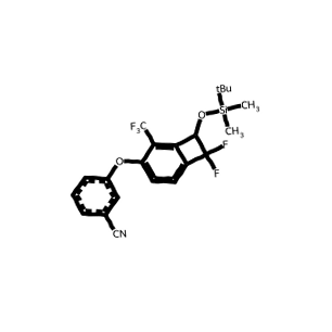 CC(C)(C)[Si](C)(C)OC1C2=C(C(F)(F)F)C(Oc3cccc(C#N)c3)=C=C=C2C1(F)F